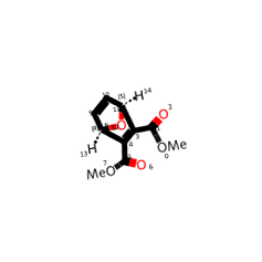 COC(=O)C1=C(C(=O)OC)[C@H]2C=C[C@@H]1O2